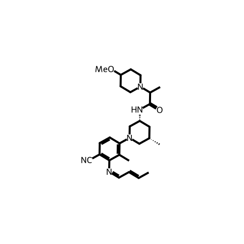 C/C=C/C=N\c1c(C#N)ccc(N2C[C@@H](C)C[C@@H](NC(=O)C(C)N3CCC(OC)CC3)C2)c1C